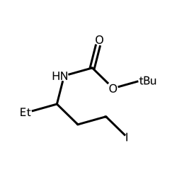 CCC(CCI)NC(=O)OC(C)(C)C